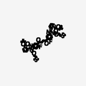 CC(C)(C)OC(=O)N1CCC[C@H]1c1nc2cc(C(=O)CCC(=O)c3cc4nc([C@@H]5CCCN5C(=O)OC(C)(C)C)n(COCCS(C)(C)C)c4cc3F)c(F)cc2n1COCCS(C)(C)C